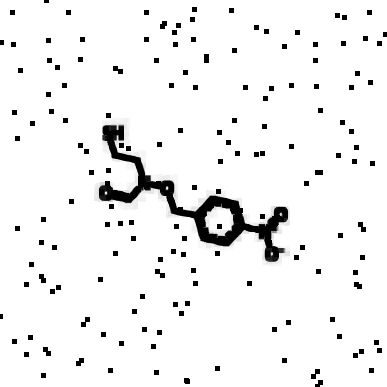 O=CN(CCS)OCc1ccc([N+](=O)[O-])cc1